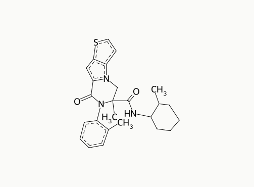 Cc1ccccc1N1C(=O)c2cc3sccc3n2CC1(C)C(=O)NC1CCCCC1C